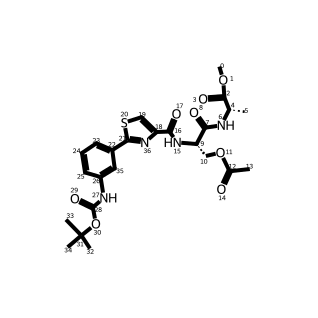 COC(=O)[C@H](C)NC(=O)[C@H](COC(C)=O)NC(=O)c1csc(-c2cccc(NC(=O)OC(C)(C)C)c2)n1